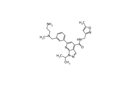 Cc1cc(CNC(=O)c2cc(-c3cccc(CN(C)CCN)c3)nc3c2cnn3C(C)C)no1